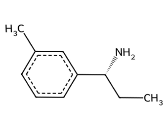 CC[C@@H](N)c1cccc(C)c1